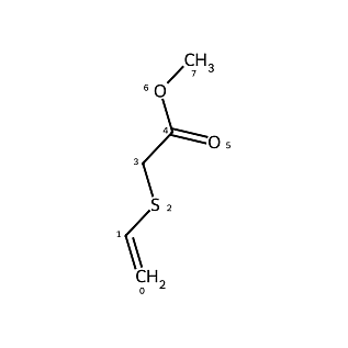 C=CSCC(=O)OC